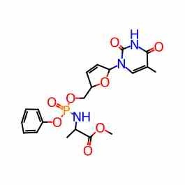 COC(=O)C(C)NP(=O)(OCC1C=CC(n2cc(C)c(=O)[nH]c2=O)O1)Oc1ccccc1